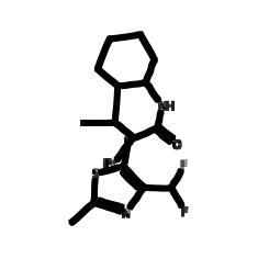 Cc1nc(C(F)F)c(OC(=O)NC2CCCCC2C(C)CC(C)C)s1